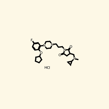 CN(CC1CC(=O)N(CCCN2CCN(c3cc(F)ccc3OC3CCCC3)CC2)C1=O)C1CC1.Cl